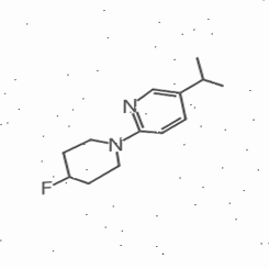 CC(C)c1ccc(N2CCC(F)CC2)nc1